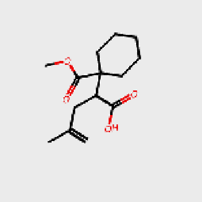 C=C(C)CC(C(=O)O)C1(C(=O)OC)CCCCC1